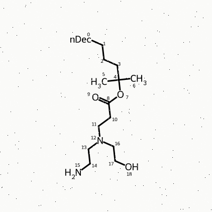 CCCCCCCCCCCCCC(C)(C)OC(=O)CCN(CCN)CCO